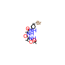 CC(C)[C@H](NC(=O)OC(C)(C)C)C(=O)N[C@@H](C)C(=O)NC1=CC[C@H](CBr)CC1